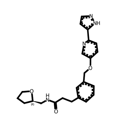 O=C(CCc1cccc(COc2ccc(-c3ccn[nH]3)nc2)c1)NC[C@H]1CCCO1